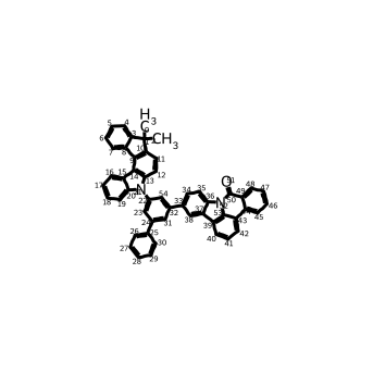 CC1(C)c2ccccc2-c2c1ccc1c2c2ccccc2n1-c1cc(-c2ccccc2)cc(-c2ccc3c(c2)c2cccc4c5ccccc5c(=O)n3c42)c1